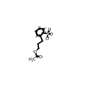 CC(=O)OCCCc1ccccc1S(=O)(=O)Cl